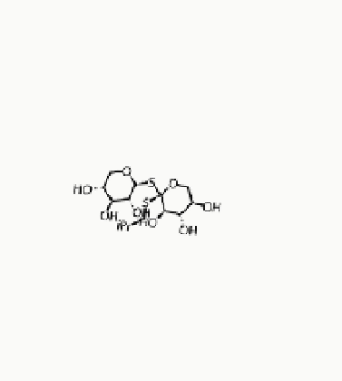 CC(C)CS[C@@]1(S[C@@H]2OC[C@@H](O)[C@H](O)[C@H]2O)OC[C@@H](O)[C@H](O)[C@H]1O